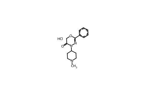 CN1CCC(N2N=C(c3ccccc3)OCC2=O)CC1.Cl